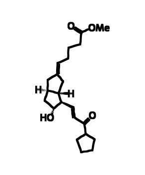 COC(=O)CCCC=C1C[C@@H]2C[C@@H](O)[C@H](C=CC(=O)C3CCCC3)[C@H]2C1